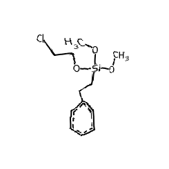 CO[Si](CCc1ccccc1)(OC)OCCCl